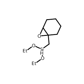 CCO[SiH](CC12CCCCC1O2)OCC